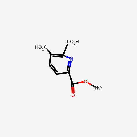 O=NOC(=O)c1ccc(C(=O)O)c(C(=O)O)n1